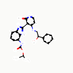 CC(C)OC(=O)Nc1cccc2nc(-c3c(NCC(O)c4ccccc4)cc[nH]c3=O)[nH]c12